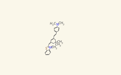 CN(C)c1ccc(/C=C/C2=CC(=C/c3sc4ccccc4[n+]3C)/CC(C)(C)C2)cc1